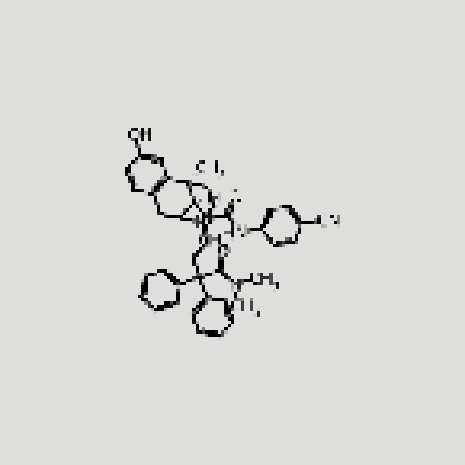 CN(C)C(=O)C(CCN1CC[C@]2(C)c3cc(O)ccc3CC1[C@@H]2N(C)C(=O)Nc1ccc(C#N)cc1)(c1ccccc1)c1ccccc1